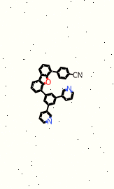 N#Cc1ccc(-c2cccc3c2oc2c(-c4cc(-c5cccnc5)cc(-c5cccnc5)c4)cccc23)cc1